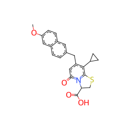 COc1ccc2cc(Cc3cc(=O)n4c(c3C3CC3)SCC4C(=O)O)ccc2c1